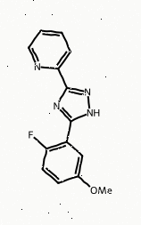 COc1ccc(F)c(-c2nc(-c3ccccn3)n[nH]2)c1